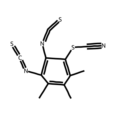 Cc1c(C)c(N=C=S)c(N=C=S)c(SC#N)c1C